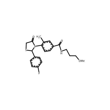 COCCCNC(=O)c1ccc(N2C(=O)CSC2c2ccc(F)cc2)c(C)c1